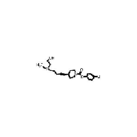 CCN(CCO)CCCC#CC1CCN(C(=O)Oc2ccc(Cl)cc2)CC1